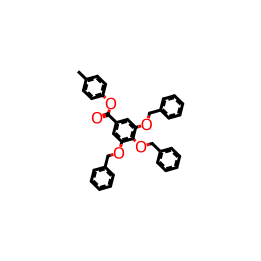 Cc1ccc(OC(=O)c2cc(OCc3ccccc3)c(OCc3ccccc3)c(OCc3ccccc3)c2)cc1